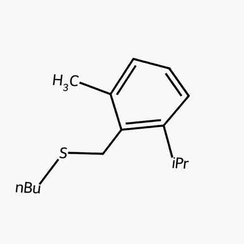 CCCCSCc1c(C)cccc1C(C)C